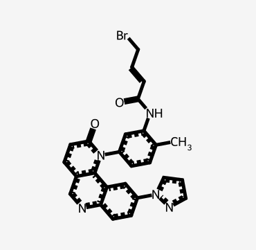 Cc1ccc(-n2c(=O)ccc3cnc4ccc(-n5cccn5)cc4c32)cc1NC(=O)C=CCBr